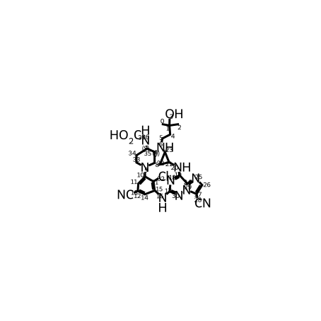 CC(C)(O)CCN[C@@H]1CN(c2cc(C#N)cc(Nc3nc(NC4CC4)c4ncc(C#N)n4n3)c2Cl)CC[C@@H]1NC(=O)O